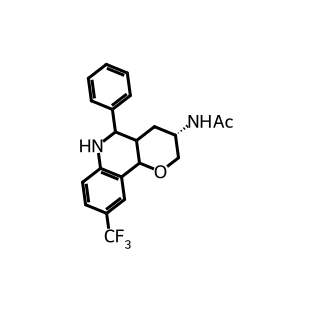 CC(=O)N[C@@H]1COC2c3cc(C(F)(F)F)ccc3NC(c3ccccc3)C2C1